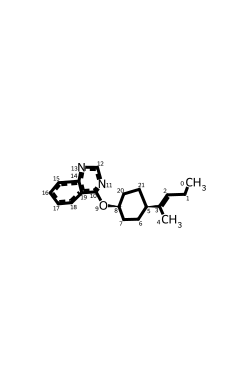 CCC=C(C)[C@H]1CC[C@@H](Oc2ncnc3ccccc23)CC1